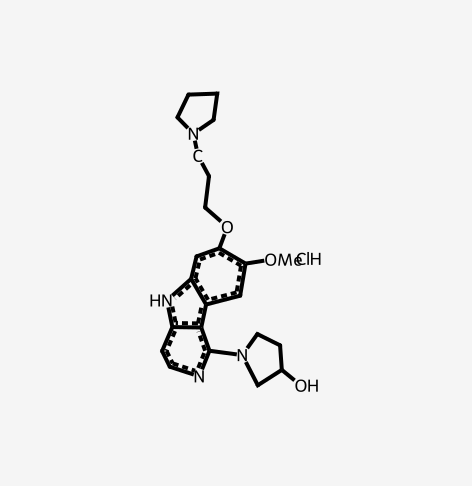 COc1cc2c(cc1OCCCN1CCCC1)[nH]c1ccnc(N3CCC(O)C3)c12.Cl